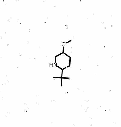 COC1CCC(C(C)(C)C)NC1